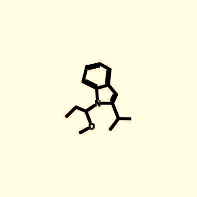 CCC(OC)n1c(C(C)C)cc2ccccc21